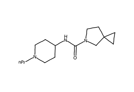 CCCN1CCC(NC(=O)N2CCC3(CC3)C2)CC1